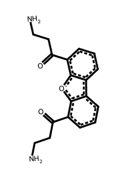 NCCC(=O)c1cccc2c1oc1c(C(=O)CCN)cccc12